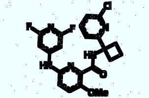 COc1ccc(Nc2cc(F)nc(F)c2)nc1C(=O)NC1(c2cccc(Cl)n2)CCC1